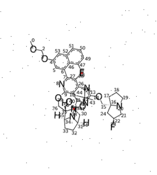 COCOc1cc(-c2nc3c4c(nc(OC[C@]56CCCN5C[C@@H](F)C6)nc4c2F)N2C[C@H]4CC[C@@H]([C@@H]2CO3)N4C(=O)OC(C)(C)C)c2c(F)cccc2c1